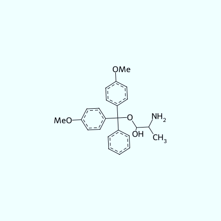 COc1ccc(C(OC(O)C(C)N)(c2ccccc2)c2ccc(OC)cc2)cc1